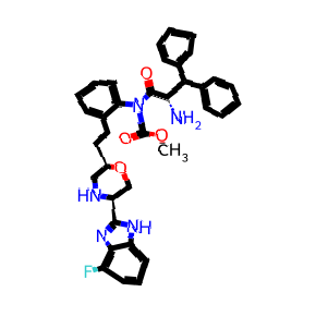 COC(=O)N(C(=O)[C@@H](N)C(c1ccccc1)c1ccccc1)c1ccccc1CC[C@@H]1CN[C@H](c2nc3c(F)cccc3[nH]2)CO1